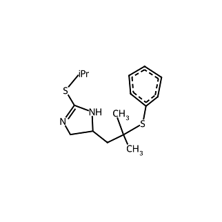 CC(C)SC1=NCC(CC(C)(C)Sc2ccccc2)N1